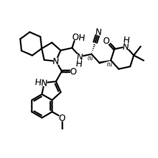 COc1cccc2[nH]c(C(=O)N3CC4(CCCCC4)CC3C(O)N[C@H](C#N)C[C@@H]3CCC(C)(C)NC3=O)cc12